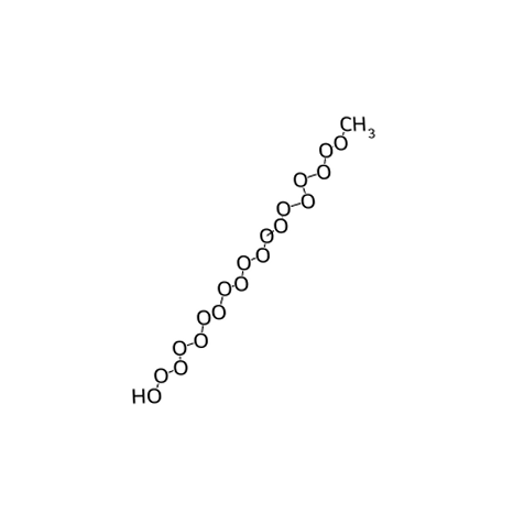 COOOOOOOOOOOOOOOOOOO